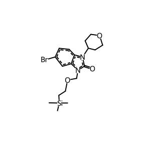 C[Si](C)(C)CCOCn1c(=O)n(C2CCOCC2)c2ccc(Br)cc21